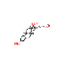 C[C@]12CC[C@@H]3c4ccc(O)cc4CC[C@H]3[C@@H]1C[C@@H](CCCCBr)[C@@H]2O